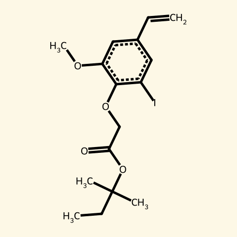 C=Cc1cc(I)c(OCC(=O)OC(C)(C)CC)c(OC)c1